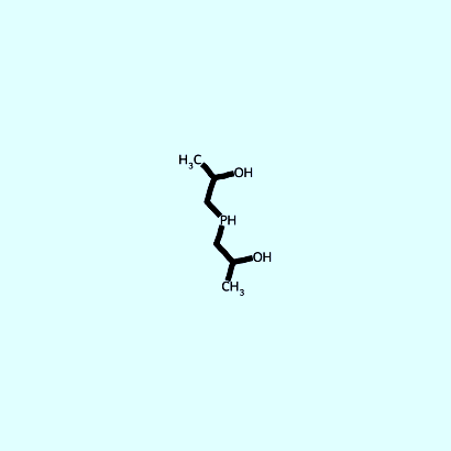 CC(O)CPCC(C)O